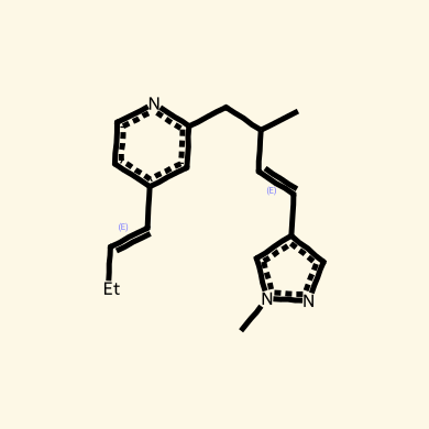 CC/C=C/c1ccnc(CC(C)/C=C/c2cnn(C)c2)c1